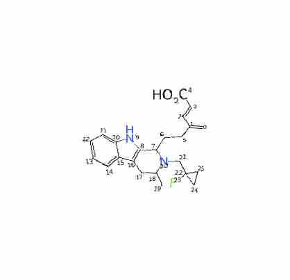 C=C(/C=C/C(=O)O)CCC1c2[nH]c3ccccc3c2CC(C)N1CC1(F)CC1